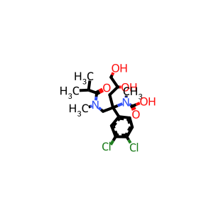 CC(C)C(=O)N(C)CC(CC(O)CO)(c1ccc(Cl)c(Cl)c1)N(C)C(=O)O